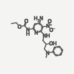 CCOC(=O)Nc1cc(N)c([N+](=O)[O-])c(NCC(O)CN(C)c2ccccc2)n1